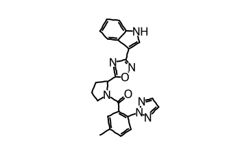 Cc1ccc(-n2nccn2)c(C(=O)N2CCCC2c2nc(-c3c[nH]c4ccccc34)no2)c1